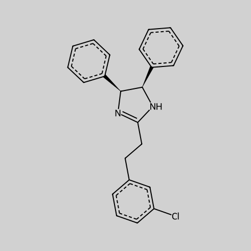 Clc1cccc(CCC2=N[C@@H](c3ccccc3)[C@@H](c3ccccc3)N2)c1